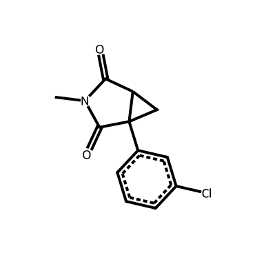 CN1C(=O)C2CC2(c2cccc(Cl)c2)C1=O